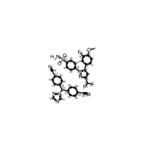 COc1ccc(-c2cc(C(F)F)nn2-c2ccc(S(N)(=O)=O)cc2)cc1F.N#Cc1ccc(C(c2ccc(C#N)cc2)n2cncn2)cc1